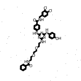 O=C(NCCOCCOCCNc1nc(Nc2ccc(O)cc2)nc(Nc2ccc(C(=O)NCc3ccc(Cl)c(Cl)c3)cc2)n1)c1ccccc1